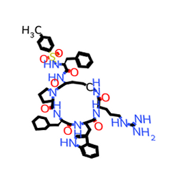 Cc1ccc(S(=O)(=O)N[C@@H](Cc2ccccc2)C(=O)N[C@H]2CCCNC(=O)C(CCCNC(=N)N)NC(=O)C(Cc3c[nH]c4ccccc34)NC(=O)[C@@H](CC3CCCCC3)NC(=O)C3CCCN3C2=O)cc1